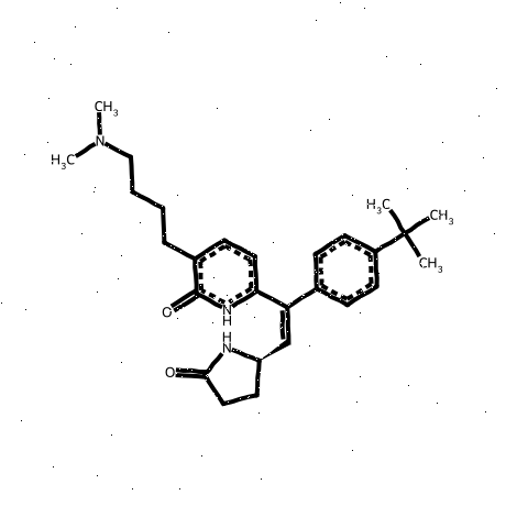 CN(C)CCCCc1ccc(/C(=C\[C@H]2CCC(=O)N2)c2ccc(C(C)(C)C)cc2)[nH]c1=O